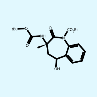 CCOC(=O)N1C(=O)[C@@](C)(NC(=O)OC(C)(C)C)CC(O)c2ccccc21